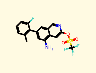 Cc1cccc(F)c1-c1cc(N)c2cc(OS(=O)(=O)C(F)(F)F)ncc2c1